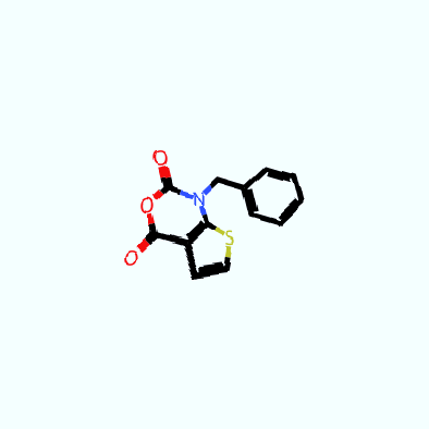 O=c1oc(=O)n(Cc2ccccc2)c2sccc12